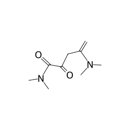 C=C(CC(=O)C(=O)N(C)C)N(C)C